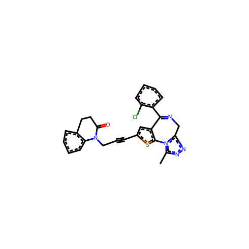 Cc1nnc2n1-c1sc(C#CCN3C(=O)CCc4ccccc43)cc1C(c1ccccc1Cl)=NC2